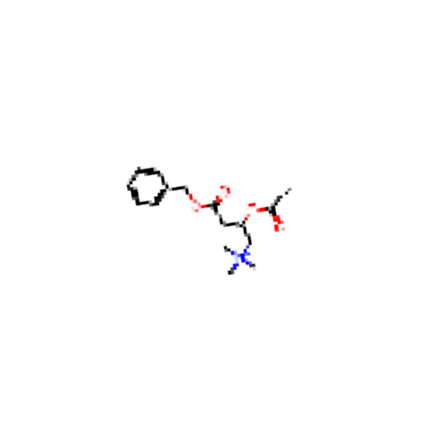 CC(C)C(=O)OC(CC(=O)OCc1ccccc1)C[N+](C)(C)C